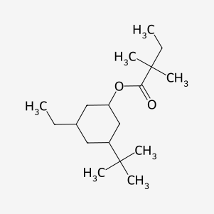 CCC1CC(OC(=O)C(C)(C)CC)CC(C(C)(C)C)C1